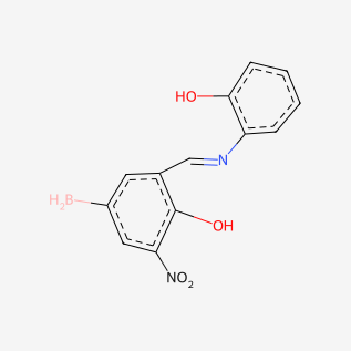 Bc1cc(/C=N/c2ccccc2O)c(O)c([N+](=O)[O-])c1